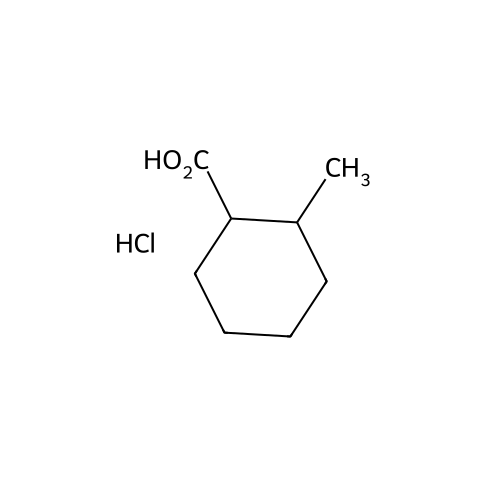 CC1CCCCC1C(=O)O.Cl